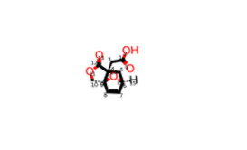 O=C(O)C[C@@]12C[C@H]3C=C[C@]1(COC2=O)O3